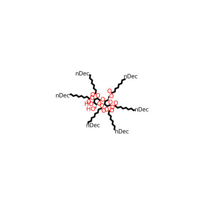 CCCCCCCCCCCCCCCCCC(=O)OC[C@H]1O[C@H](OC(=O)CCCCCCCCCCCCCCCCC)[C@H](OC(=O)CCCCCCCCCCCCCCCCC)[C@@H](OC(=O)CCCCCCCCCCCCCCCCC)[C@@H]1O[C@H]1O[C@H](CO)[C@@H](O)[C@H](OC(=O)CCCCCCCCCCCCCCCCC)[C@H]1OC(=O)CCCCCCCCCCCCCCCCC